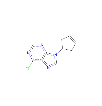 Clc1ncnc2c1ncn2C1CC=CC1